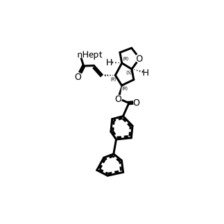 CCCCCCCC(=O)C=C[C@@H]1[C@H]2CCO[C@H]2C[C@H]1OC(=O)c1ccc(-c2ccccc2)cc1